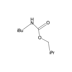 CCC(C)NC(=O)OCC(C)C